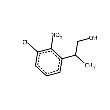 [CH2]C(CO)c1cccc(Cl)c1[N+](=O)[O-]